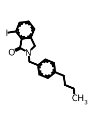 CCCCc1ccc(CN2Cc3cccc(I)c3C2=O)cc1